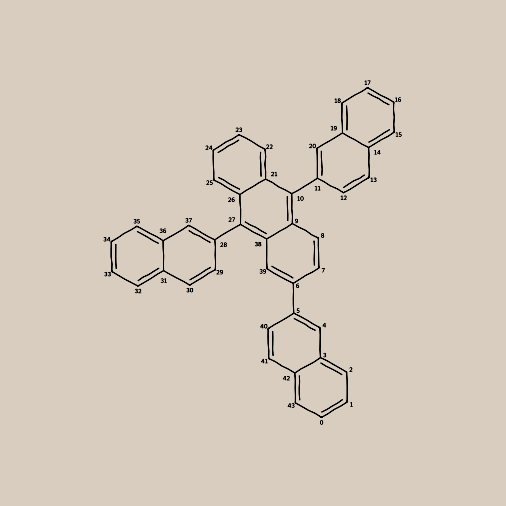 c1ccc2cc(-c3ccc4c(-c5ccc6ccccc6c5)c5ccccc5c(-c5ccc6ccccc6c5)c4c3)ccc2c1